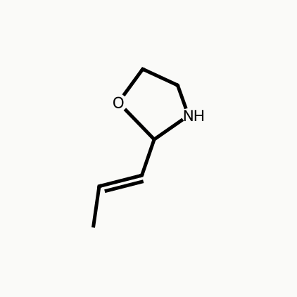 CC=CC1NCCO1